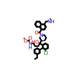 CCc1cccc(-c2c(Cl)cccc2[C@](O)(CCCNC(=O)OC)[C@@H]2CCCN(C(=O)c3ccc(CNC)c4ccccc34)C2)c1